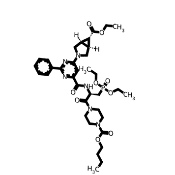 CCCCOC(=O)N1CCN(C(=O)[C@H](CP(=O)(OCC)OCC)NC(=O)c2cc(N3C[C@@H]4[C@H](C3)[C@H]4C(=O)OCC)nc(-c3ccccc3)n2)CC1